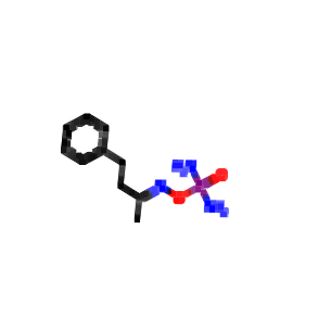 CC(CCc1ccccc1)=NOP(N)(N)=O